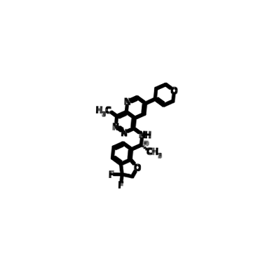 Cc1nnc(N[C@H](C)c2cccc3c2OCC3(F)F)c2cc(C3=CCOCC3)cnc12